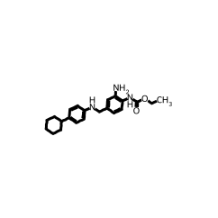 CCOC(=O)Nc1ccc(CNc2ccc(C3CCCCC3)cc2)cc1N